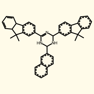 CC1(C)c2ccccc2-c2ccc(C3N=C(c4ccc5c(c4)C(C)(C)C4C=CC=CC54)NC(c4ccc5ccccc5c4)N3)cc21